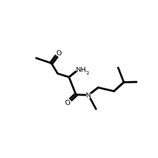 CC(=O)CC(N)C(=O)N(C)CCC(C)C